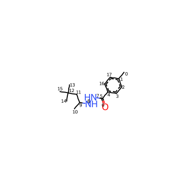 Cc1ccc(C(=O)NNC(C)CC(C)(C)C)cc1